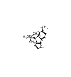 Cc1ccc2c3occc3n([Si](C)(C)C)c2c1